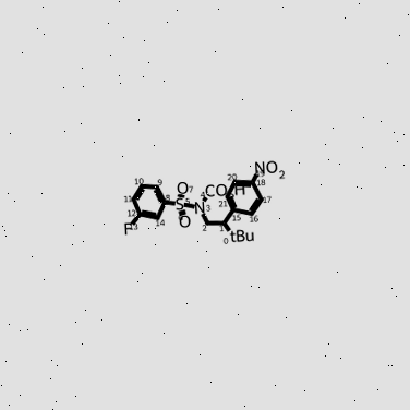 CC(C)(C)C(CN(C(=O)O)S(=O)(=O)c1cccc(F)c1)c1ccc([N+](=O)[O-])cc1